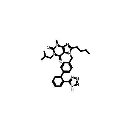 CCCCc1nc2c(c(=O)n(CC(C)C)c(=O)n2C)n1Cc1ccc(-c2ccccc2-c2nnn[nH]2)cc1